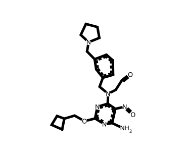 Nc1nc(OCC2CCC2)nc(N(CC=O)Cc2cccc(CN3CCCC3)c2)c1N=O